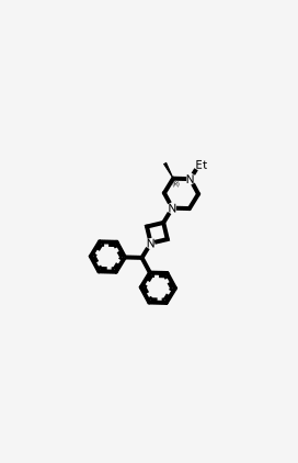 CCN1CCN(C2CN(C(c3ccccc3)c3ccccc3)C2)C[C@H]1C